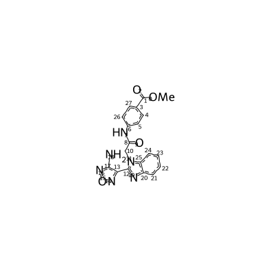 COC(=O)c1ccc(NC(=O)Cn2c(-c3nonc3N)nc3ccccc32)cc1